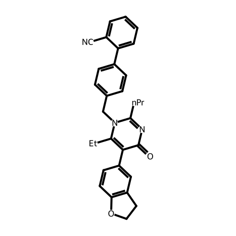 CCCc1nc(=O)c(-c2ccc3c(c2)CCO3)c(CC)n1Cc1ccc(-c2ccccc2C#N)cc1